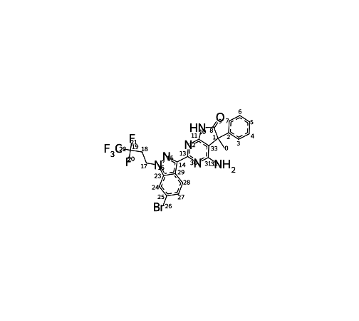 CC1(c2ccccc2)C(=O)Nc2nc(-c3nn(CCC(F)(F)C(F)(F)F)c4cc(Br)ccc34)nc(N)c21